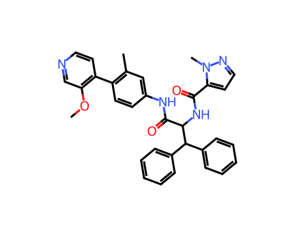 COc1cnccc1-c1ccc(NC(=O)C(NC(=O)c2ccnn2C)C(c2ccccc2)c2ccccc2)cc1C